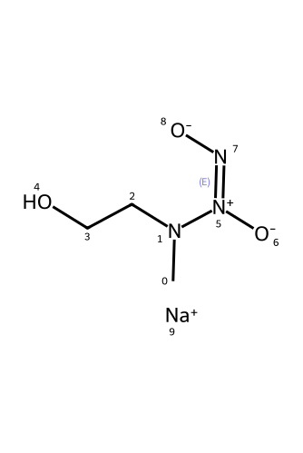 CN(CCO)/[N+]([O-])=N\[O-].[Na+]